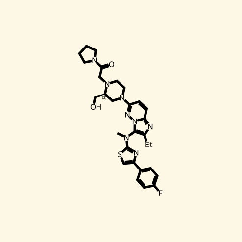 CCc1nc2ccc(N3CCN(CC(=O)N4CCCC4)[C@H](CO)C3)nn2c1N(C)c1nc(-c2ccc(F)cc2)cs1